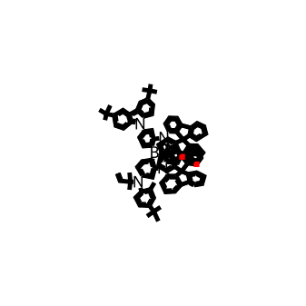 C=CC(C)(C)N(c1ccc2c(c1)N(c1cccc3c1C1(c4ccccc4-c4ccccc41)c1ccccc1-3)c1cc(C(C)(C)C)cc3c1B2c1ccc(-n2c4ccc(C(C)(C)C)cc4c4cc(C(C)(C)C)ccc42)cc1N3c1cccc2c1C1(c3ccccc3-c3ccccc31)c1ccccc1-2)c1ccc(C(C)(C)C)cc1C